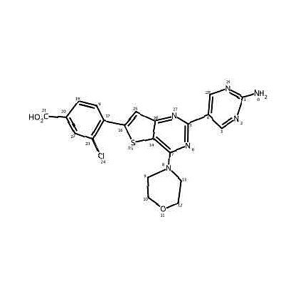 Nc1ncc(-c2nc(N3CCOCC3)c3sc(-c4ccc(C(=O)O)cc4Cl)cc3n2)cn1